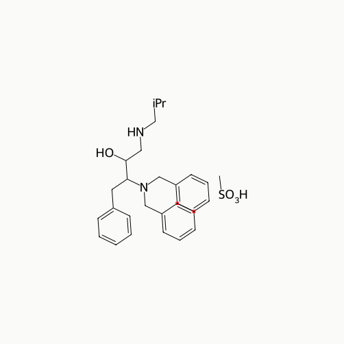 CC(C)CNCC(O)C(Cc1ccccc1)N(Cc1ccccc1)Cc1ccccc1.CS(=O)(=O)O